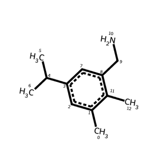 Cc1cc(C(C)C)cc(CN)c1C